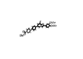 COc1ccc(-c2cn3cc(-c4ccc(N5CCN(C(=O)OC(C)(C)C)CC5)cc4)cc(C)c3n2)cc1OC